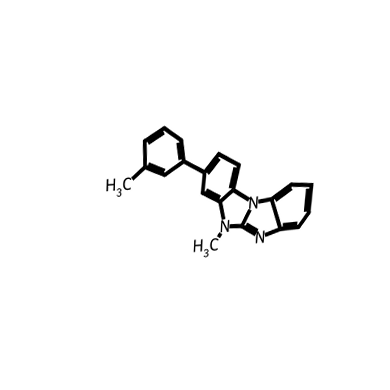 Cc1cccc(-c2ccc3c(c2)n(C)c2nc4ccccc4n32)c1